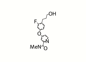 CNC(=O)c1cc(Oc2ccc(CCCO)c(F)c2)ccn1